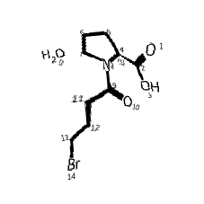 O.O=C(O)[C@@H]1CCCN1C(=O)CCCBr